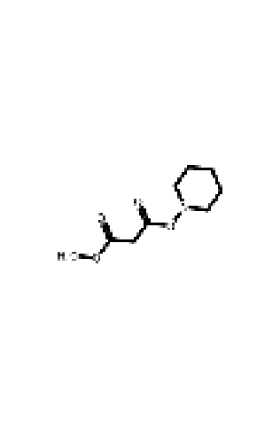 COC(=O)CC(=O)ON1CCCCC1